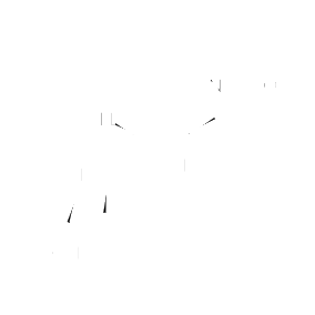 CC1CC2N(C)C(=O)CC[C@]2(C)[C@H]2CC[C@]3(C)[C@@H](C(C)(C)O)CC[C@H]3[C@H]12